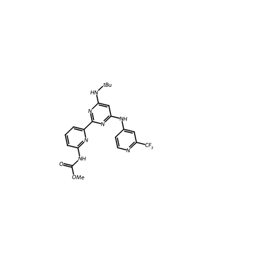 COC(=O)Nc1cccc(-c2nc(Nc3ccnc(C(F)(F)F)c3)cc(NC(C)(C)C)n2)n1